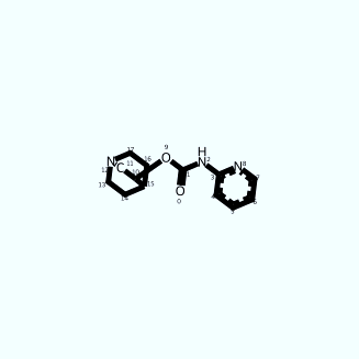 O=C(Nc1ccccn1)OC1CN2CCC1CC2